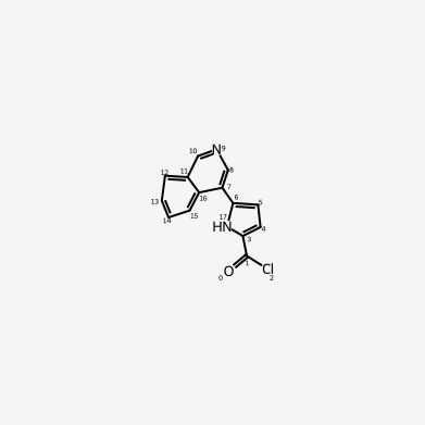 O=C(Cl)c1ccc(-c2cncc3ccccc23)[nH]1